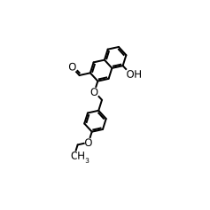 CCOc1ccc(COc2cc3c(O)cccc3cc2C=O)cc1